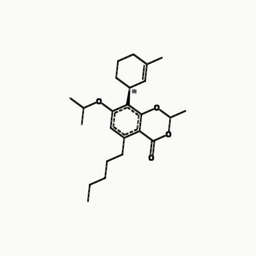 CCCCCc1cc(OC(C)C)c([C@@H]2C=C(C)CCC2)c2c1C(=O)OC(C)O2